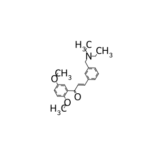 CCN(CC)Cc1cccc(/C=C/C(=O)c2cc(OC)ccc2OC)c1